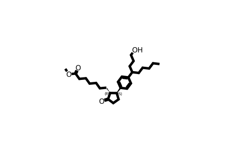 CCCCCC(CCCO)c1ccc([C@H]2CCC(=O)[C@@H]2CCCCCCC(=O)OC)cc1